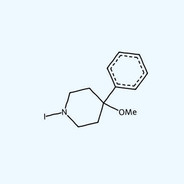 COC1(c2ccccc2)CCN(I)CC1